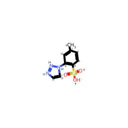 Cc1ccc(S(=O)(=O)O)c(-n2ccnn2)c1